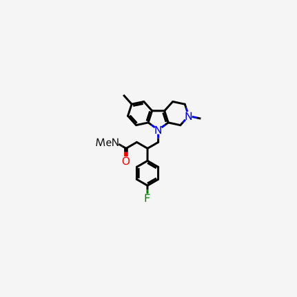 CNC(=O)CC(Cn1c2c(c3cc(C)ccc31)CCN(C)C2)c1ccc(F)cc1